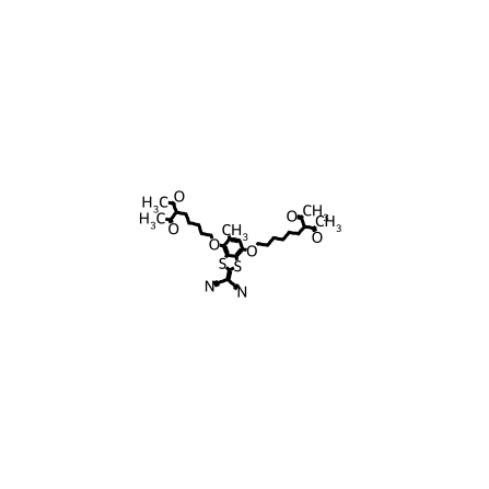 CC(=O)C(CCCCCCOc1cc(C)c(OCCCCCC(C(C)=O)C(C)=O)c2c1SC(=C(C#N)C#N)S2)C(C)=O